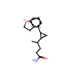 CC(CCC(N)=O)C1CC1c1cccc2c1CCO2